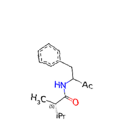 CC(=O)C(Cc1ccccc1)NC(=O)[C@@H](C)C(C)C